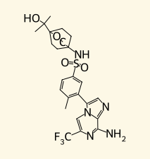 Cc1ccc(S(=O)(=O)NC23CCC(C(C)(C)O)(CC2)OC3)cc1-c1cnc2c(N)nc(C(F)(F)F)cn12